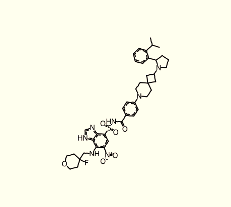 CC(C)c1ccccc1C1CCCN1C1CC2(CCN(c3ccc(C(=O)NS(=O)(=O)c4cc([N+](=O)[O-])c(NCC5(F)CCOCC5)c5[nH]cnc45)cc3)CC2)C1